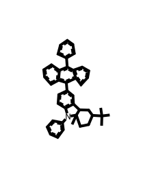 CC(C)(C)C1CCC2(C)C(C1)c1cc(-c3c4ccccc4c(-c4ccccc4)c4ccccc34)ccc1N2c1ccccc1